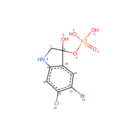 O=P(O)(O)OC1(O)CNc2cc(Cl)c(Br)cc21